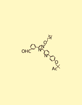 CC(=O)C(C)(C)COc1ccc(-c2ccc(-c3nc(-c4cccc(C=O)c4)cn3COCC[Si](C)(C)C)cn2)cc1